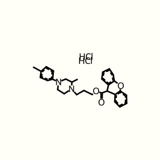 Cc1ccc(N2CCN(CCCOC(=O)C3c4ccccc4Oc4ccccc43)C(C)C2)cc1.Cl.Cl